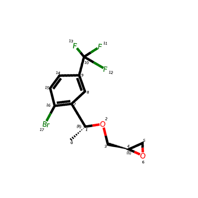 C[C@@H](OC[C@H]1CO1)c1cc(C(F)(F)F)ccc1Br